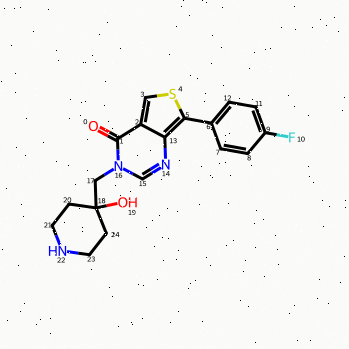 O=c1c2csc(-c3ccc(F)cc3)c2ncn1CC1(O)CCNCC1